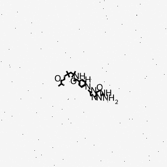 CC(C)C(=O)CCC(C)(C)CC(C)(C)NC(=O)c1ccc(NCc2cnc3nc(N)[nH]c(=O)c3n2)cc1